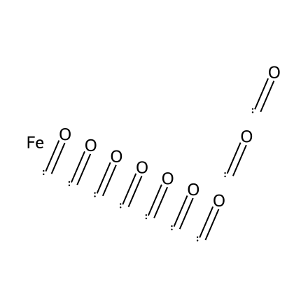 [C]=O.[C]=O.[C]=O.[C]=O.[C]=O.[C]=O.[C]=O.[C]=O.[C]=O.[Fe]